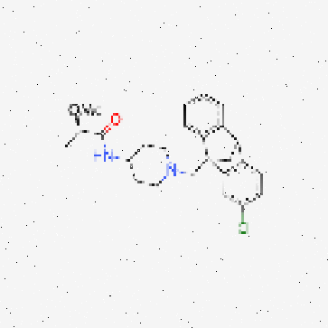 CO[C@H](C)C(=O)NC1CCN(CC23CC(c4ccccc42)c2ccc(Cl)cc23)CC1